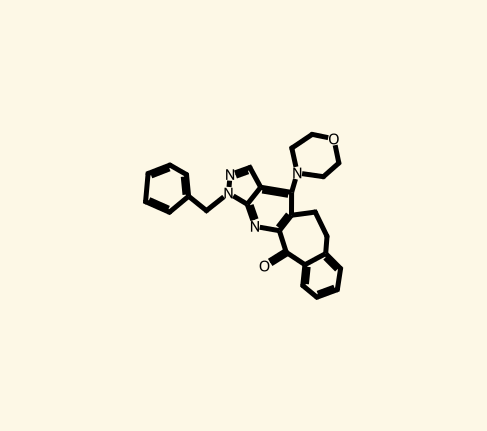 O=C1c2ccccc2CCc2c1nc1c(cnn1Cc1ccccc1)c2N1CCOCC1